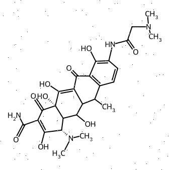 CC1c2ccc(NC(=O)CN(C)C)c(O)c2C(=O)C2=C(O)[C@]3(O)C(=O)C(C(N)=O)=C(O)[C@@H](N(C)C)C3C(O)C21